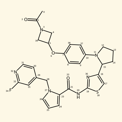 CC(=O)N1CC(Oc2ccc(N3CCCC3c3csc(NC(=O)c4cccn4Cc4ccnc(F)c4)n3)cc2)C1